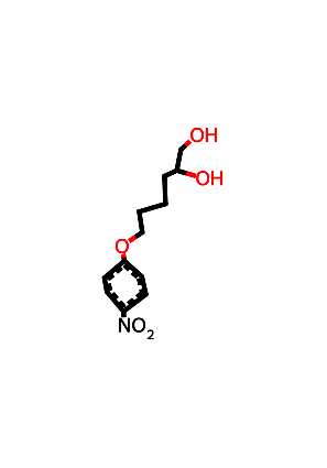 O=[N+]([O-])c1ccc(OCCCCC(O)CO)cc1